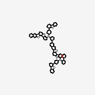 c1ccc(-c2ccccc2N(c2ccc(-c3cccc4c3oc3ccccc34)cc2)c2cccc3c2sc2ccc4c5cc6ccc(-c7cccc(N(c8ccc(-c9cccc%10c9sc9ccccc9%10)cc8)c8cccc9c8sc8ccc%10c%11cc%12ccccc%12cc%11oc%10c89)c7)cc6cc5oc4c23)cc1